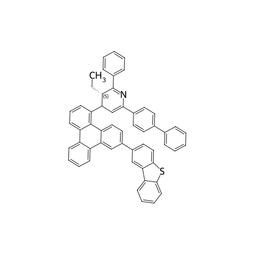 CC[C@@H]1C(c2ccccc2)=NC(c2ccc(-c3ccccc3)cc2)=CC1c1cccc2c3ccccc3c3cc(-c4ccc5sc6ccccc6c5c4)ccc3c12